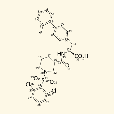 Cc1ccccc1-c1ccc(C[C@H](NC(=O)C2CCCN(S(=O)(=O)c3c(Cl)cccc3Cl)C2)C(=O)O)cc1